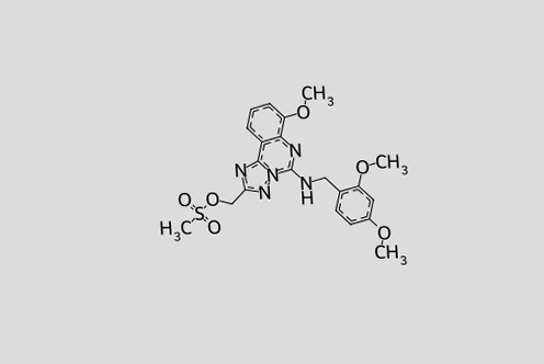 COc1ccc(CNc2nc3c(OC)cccc3c3nc(COS(C)(=O)=O)nn23)c(OC)c1